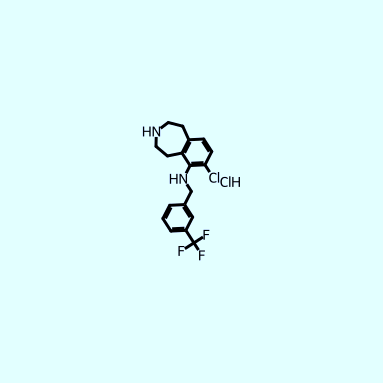 Cl.FC(F)(F)c1cccc(CNc2c(Cl)ccc3c2CCNCC3)c1